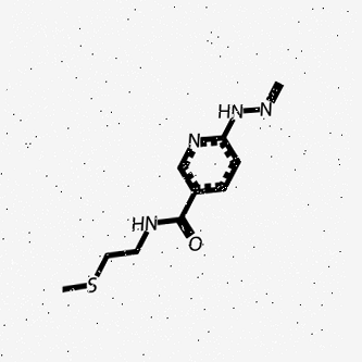 C=NNc1ccc(C(=O)NCCSC)cn1